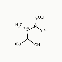 CCCN(C(=O)O)[C@@H](C)C(O)C(C)(C)C